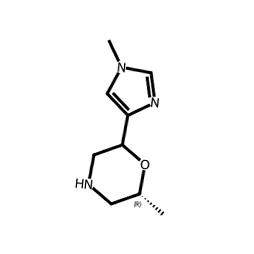 C[C@@H]1CNCC(c2cn(C)cn2)O1